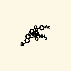 COc1ccc2cc(Br)ccc2c1CN1C(=O)[C@@H](N)CN(C(=O)c2ccc(C(C)=O)cc2)c2ccccc21